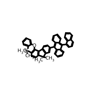 CC1(C)c2cc(-c3c4ccccc4c(-c4cccc5ccccc45)c4ccccc34)ccc2-c2c1ccc1c2Oc2ccccc2[Si]1(C)C